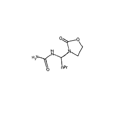 CCCC(NC(N)=O)N1CCOC1=O